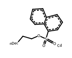 CCCCCCCCCCCCOS(=O)(=O)c1cccc2ccccc12.[Cd]